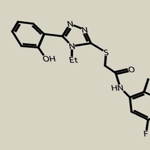 CCn1c(SCC(=O)Nc2cc(F)ccc2C)nnc1-c1ccccc1O